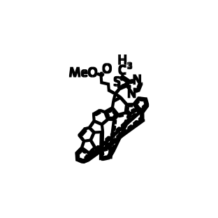 COC(=O)CCCC1(c2sc(C)c3nccnc23)C2c3c4c5c6c3c3c(c7ccc8c9ccc%10c%11c%12c%13c(c6c6c%13c(c%119)c8c7c36)=C3C5C(C=C4)C4C=CC%10C%12C34)C21